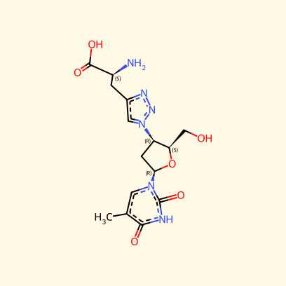 Cc1cn([C@H]2C[C@@H](n3cc(C[C@H](N)C(=O)O)nn3)[C@@H](CO)O2)c(=O)[nH]c1=O